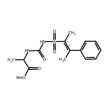 COC(=O)C(C)NC(=O)NS(=O)(=O)/C(C)=C(\C)c1ccccc1